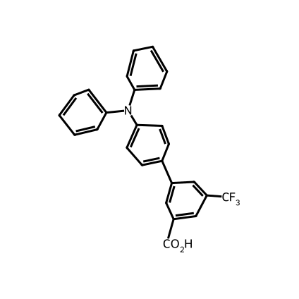 O=C(O)c1cc(-c2ccc(N(c3ccccc3)c3ccccc3)cc2)cc(C(F)(F)F)c1